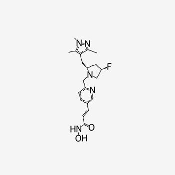 Cc1nn(C)c(C)c1C[C@H]1C[C@@H](F)CN1Cc1ccc(/C=C/C(=O)NO)cn1